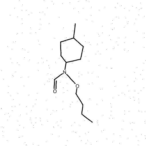 CCCCON(C=O)C1CCC(C)CC1